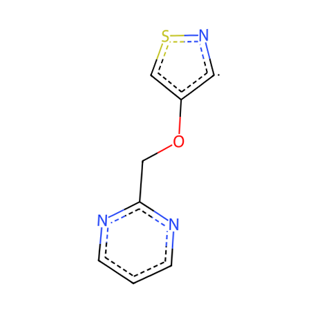 [c]1nscc1OCc1ncccn1